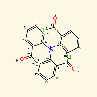 O=C(Cl)c1ccccc1N(c1ccccc1C(=O)Cl)c1ccccc1C(=O)Cl